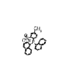 Cc1ccc(P(c2cccc3ccccc23)c2cccc3ccccc23)c(S(=O)(=O)F)c1